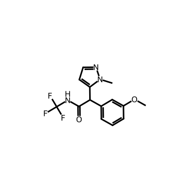 COc1cccc(C(C(=O)NC(F)(F)F)c2ccnn2C)c1